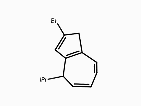 CCC1=CC2=C(C=CC=CC2C(C)C)C1